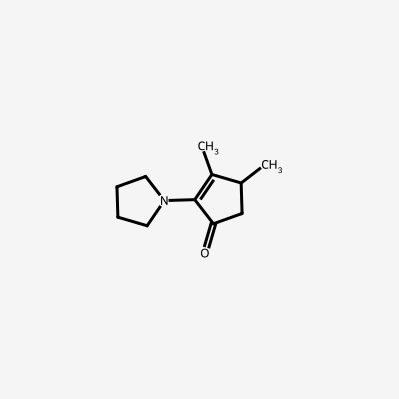 CC1=C(N2CCCC2)C(=O)CC1C